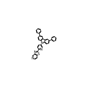 c1ccc(-c2ccc3c(c2)c2cc(-c4ccccc4)ccc2n3-c2ccc(-c3nc4cnccc4s3)nc2)cc1